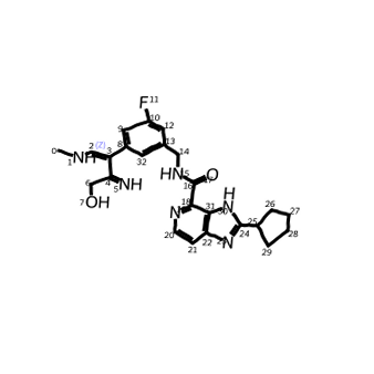 CN/C=C(\C(=N)CO)c1cc(F)cc(CNC(=O)c2nccc3nc(C4CCCC4)[nH]c23)c1